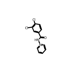 O=C(N[n+]1ccccc1)c1ccc(Cl)c(Cl)c1